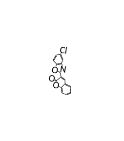 O=c1oc2ccccc2cc1-c1nc2cc(Cl)ccc2o1